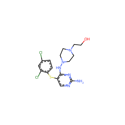 Nc1ncc(Sc2ccc(Cl)cc2Cl)c(NN2CCN(CCO)CC2)n1